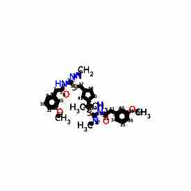 C=N/N=C(/NC(=O)Cc1cccc(OC)c1)SCC1CCC(C(C)(C)S/C(=N\C)NC(=O)Cc2cccc(OC)c2)C1